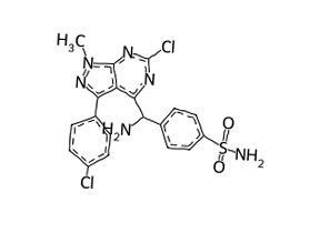 Cn1nc(-c2ccc(Cl)cc2)c2c(C(N)c3ccc(S(N)(=O)=O)cc3)nc(Cl)nc21